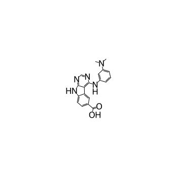 CN(C)c1cccc(Nc2ncnc3[nH]c4ccc(C(=O)O)cc4c23)c1